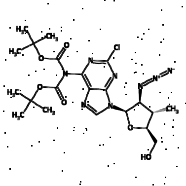 C[C@H]1[C@H](N=[N+]=[N-])[C@H](n2cnc3c(N(C(=O)OC(C)(C)C)C(=O)OC(C)(C)C)nc(Cl)nc32)O[C@@H]1CO